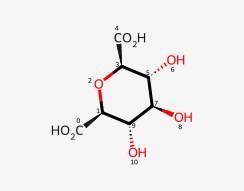 O=C(O)[C@H]1O[C@@H](C(=O)O)[C@H](O)[C@@H](O)[C@@H]1O